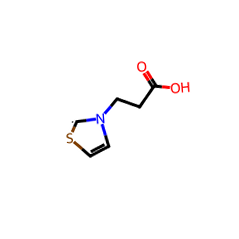 O=C(O)CCN1[CH]SC=C1